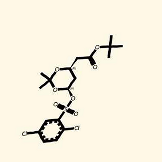 CC(C)(C)OC(=O)C[C@H]1C[C@@H](OS(=O)(=O)c2cc(Cl)ccc2Cl)OC(C)(C)O1